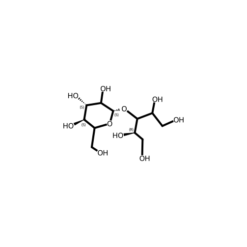 OCC(O)C(O[C@@H]1OC(CO)[C@@H](O)[C@H](O)C1O)[C@H](O)CO